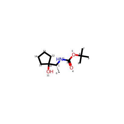 C[C@@H](NC(=O)OC(C)(C)C)C1(O)CCCC1